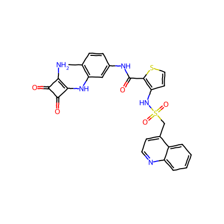 Cc1ccc(NC(=O)c2sccc2NS(=O)(=O)Cc2ccnc3ccccc23)cc1Nc1c(N)c(=O)c1=O